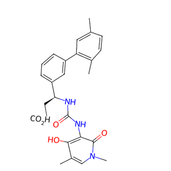 Cc1ccc(C)c(-c2cccc([C@H](CC(=O)O)NC(=O)Nc3c(O)c(C)cn(C)c3=O)c2)c1